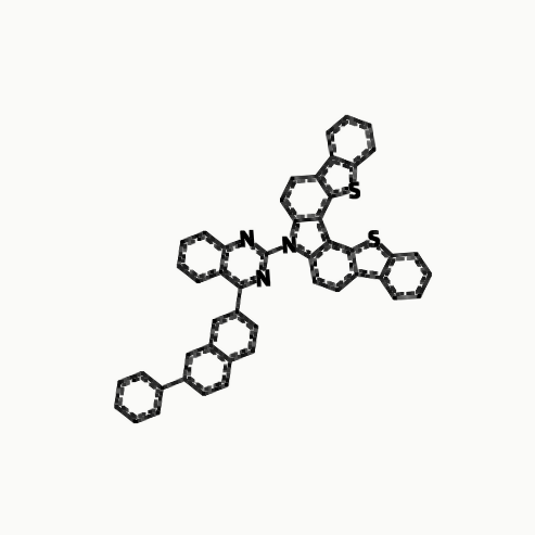 c1ccc(-c2ccc3ccc(-c4nc(-n5c6ccc7c8ccccc8sc7c6c6c7sc8ccccc8c7ccc65)nc5ccccc45)cc3c2)cc1